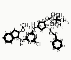 CO[C@H]1Cc2ccccc2[C@H]1Nc1nc(Cl)nc(N[C@H]2CC(O[Si](C)(C)C(C)(C)C)[C@H](COCc3ccccc3)C2)n1